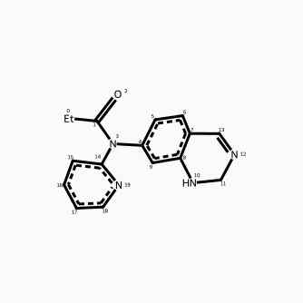 CCC(=O)N(c1ccc2c(c1)NCN=C2)c1ccccn1